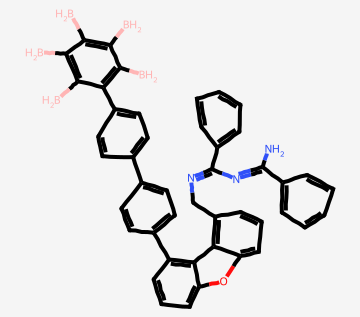 Bc1c(B)c(B)c(-c2ccc(-c3ccc(-c4cccc5oc6cccc(C/N=C(\N=C(/N)c7ccccc7)c7ccccc7)c6c45)cc3)cc2)c(B)c1B